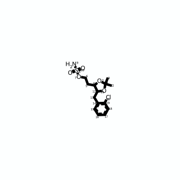 CC1(C)OC(CCOS(N)(=O)=O)C(Cc2ccccc2Cl)O1